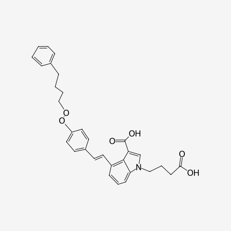 O=C(O)CCCn1cc(C(=O)O)c2c(C=Cc3ccc(OOCCCCc4ccccc4)cc3)cccc21